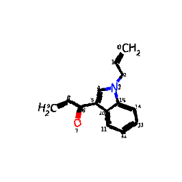 C=CCn1cc(C(=O)C=C)c2ccccc21